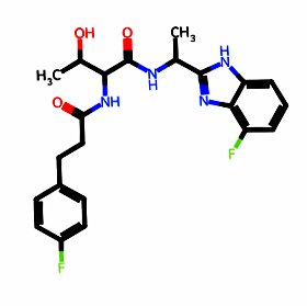 CC(NC(=O)C(NC(=O)CCc1ccc(F)cc1)C(C)O)c1nc2c(F)cccc2[nH]1